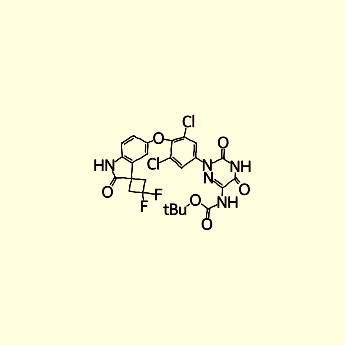 CC(C)(C)OC(=O)Nc1nn(-c2cc(Cl)c(Oc3ccc4c(c3)C3(CC(F)(F)C3)C(=O)N4)c(Cl)c2)c(=O)[nH]c1=O